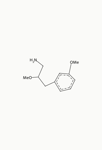 COc1cccc(CC(CN)OC)c1